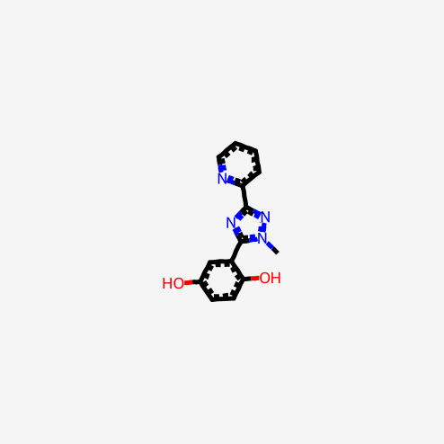 Cn1nc(-c2ccccn2)nc1-c1cc(O)ccc1O